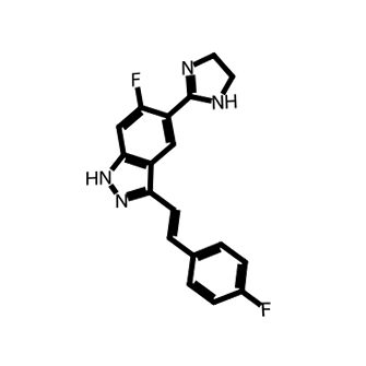 Fc1ccc(C=Cc2n[nH]c3cc(F)c(C4=NCCN4)cc23)cc1